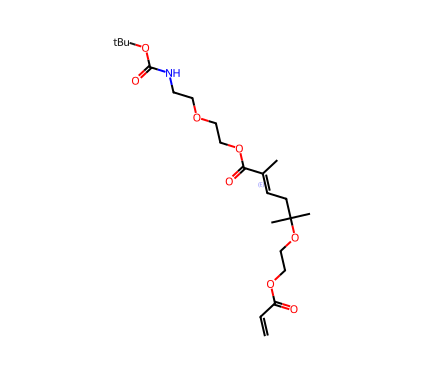 C=CC(=O)OCCOC(C)(C)C/C=C(\C)C(=O)OCCOCCNC(=O)OC(C)(C)C